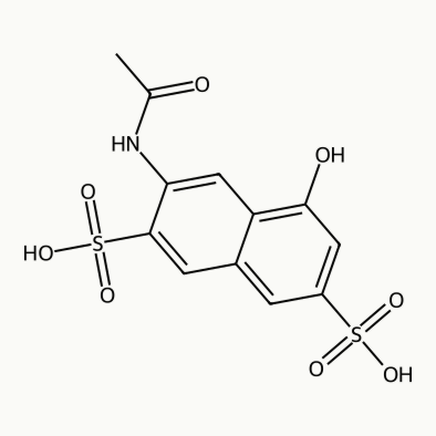 CC(=O)Nc1cc2c(O)cc(S(=O)(=O)O)cc2cc1S(=O)(=O)O